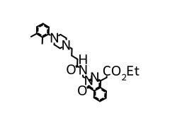 CCOC(=O)Cc1nn(CNC(=O)CCCN2CCN(c3cccc(C)c3C)CC2)c(=O)c2ccccc12